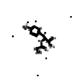 CC(C)(C)NC(=O)OC(Cc1ccc(N)cc1)C(N)=O